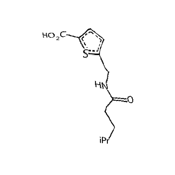 CC(C)CCC(=O)NCc1ccc(C(=O)O)s1